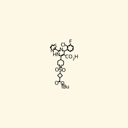 CC(C)(C)OC(=O)C1CC(S(=O)(=O)N2CCC(C3=C(C(=O)O)C(c4cccc(F)c4Cl)N=C(c4nccs4)N3)CC2)C1